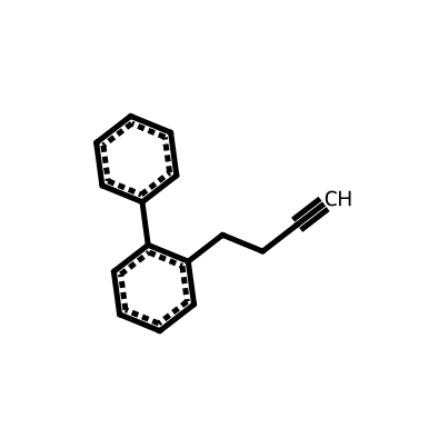 C#CCCc1ccccc1-c1ccccc1